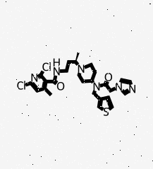 Cc1cc(Cl)nc(Cl)c1C(=O)NCC[C@@H](C)N1CCC(N(Cc2ccsc2)C(=O)Cn2ccnc2)CC1